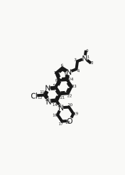 CN(C)CCn1ccc2c3nc(Cl)nc(N4CCOCC4)c3ccc21